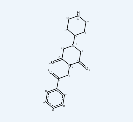 O=C(CN1C(=O)CN(C2CCNCC2)CC1=O)c1ccccc1